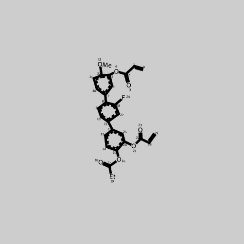 C=CC(=O)Oc1cc(-c2ccc(-c3ccc(OC(=O)CC)c(OC(=O)C=C)c3)cc2F)ccc1OC